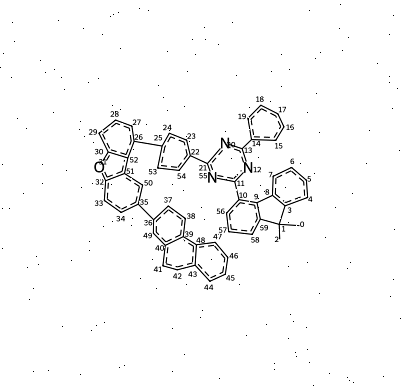 CC1(C)c2ccccc2-c2c(-c3nc(-c4ccccc4)nc(-c4ccc(-c5cccc6oc7ccc(-c8ccc9c(ccc%10ccccc%109)c8)cc7c56)cc4)n3)cccc21